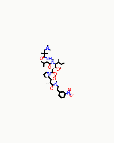 CC[C@H](C)[C@@H]([C@@H](CC(=O)N1CCC[C@H]1[C@H](OC)[C@@H](C)C(=O)N(C)CCc1cccc([N+](=O)[O-])c1)OC)N(C)C(=O)[C@@H](NC(=O)C(C)(C)CN(C)C)C(C)C